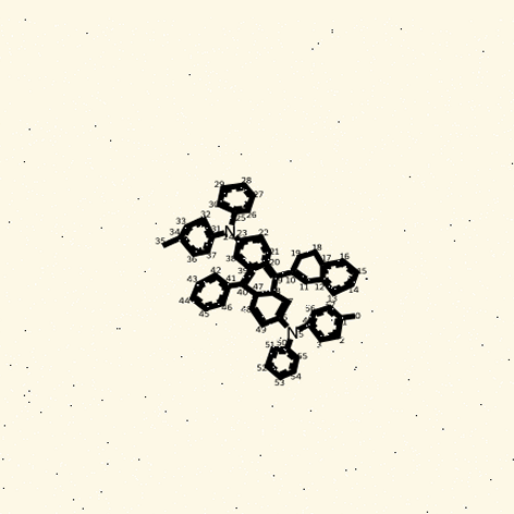 Cc1ccc(N(C2=CC3C(C4=Cc5ccccc5CC4)=c4ccc(N(c5ccccc5)c5ccc(C)cc5)cc4=C(c4ccccc4)C3C=C2)c2ccccc2)cc1